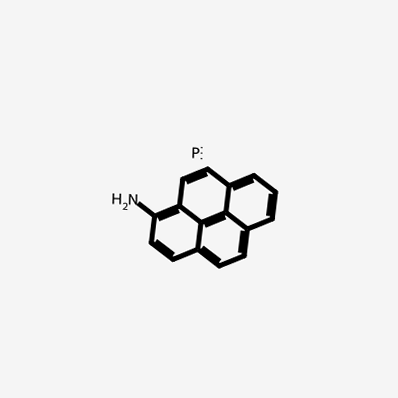 Nc1ccc2ccc3cccc4ccc1c2c34.[P]